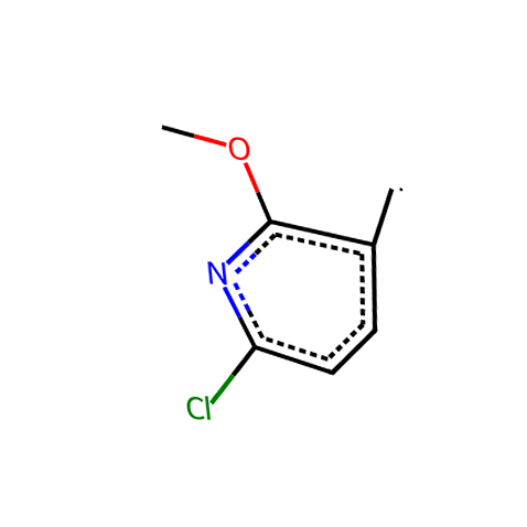 [CH2]c1ccc(Cl)nc1OC